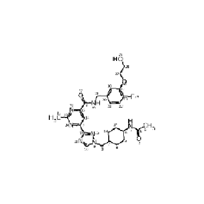 CC(=O)NC1CCC(Cn2cnc(-c3cc(C(=O)NCc4ccc(F)c(OCCO)c4)nc(C)n3)n2)CC1